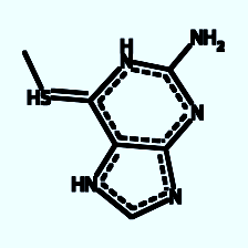 C[SH]=c1[nH]c(N)nc2nc[nH]c12